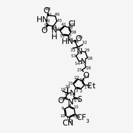 CCc1cc(N2C(=S)N(c3ccc(C#N)c(C(F)(F)F)c3)C(=O)C2(C)C)ccc1OCCN1CCN(C(C)(C)C(=O)Nc2cc(Cl)cc(NC3CCC(=O)NC3=O)c2)CC1